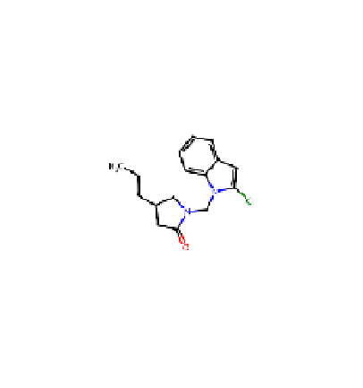 CCCC1CC(=O)N(Cn2c(Cl)cc3ccccc32)C1